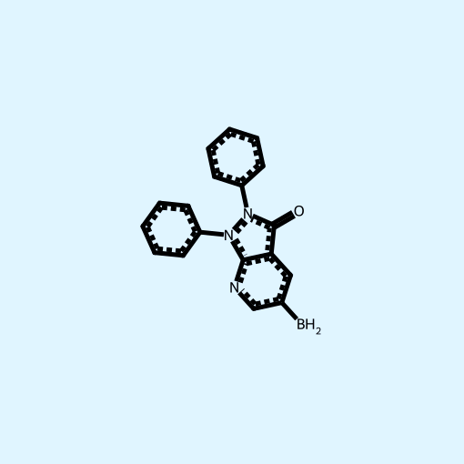 Bc1cnc2c(c1)c(=O)n(-c1ccccc1)n2-c1ccccc1